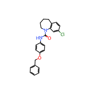 O=C(Nc1ccc(OCc2ccccc2)cc1)N1CCCCc2ccc(Cl)cc21